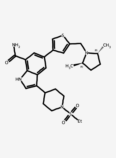 CCS(=O)(=O)N1CCC(c2c[nH]c3c(C(N)=O)cc(-c4csc(CN5[C@H](C)CC[C@H]5C)c4)cc23)CC1